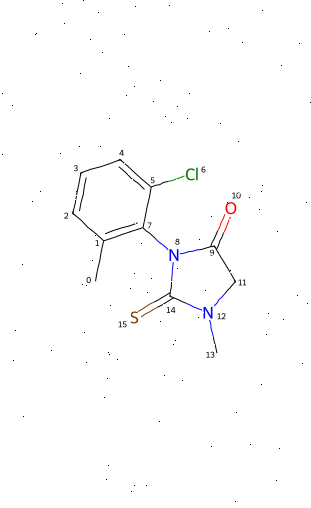 Cc1cccc(Cl)c1N1C(=O)CN(C)C1=S